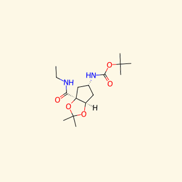 CCNC(=O)[C@]12C[C@H](NC(=O)OC(C)(C)C)C[C@H]1OC(C)(C)O2